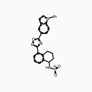 CC(C)n1ccc2cc(-c3nc(-c4cccc5c4CCCC5N[SH](=O)=O)no3)ccc21